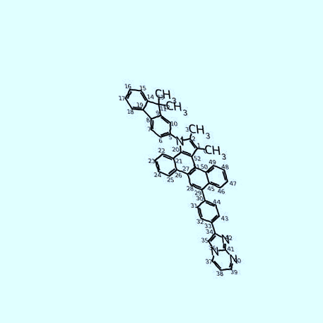 Cc1c(C)n(-c2ccc3c(c2)C(C)(C)c2ccccc2-3)c2c3ccccc3c3cc(-c4ccc(-c5cn6cccnc6n5)cc4)c4ccccc4c3c12